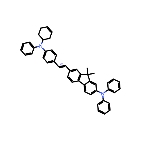 CC1(C)c2cc(/C=C/c3ccc(N(c4ccccc4)C4CC=CCC4)cc3)ccc2-c2ccc(N(c3ccccc3)c3ccccc3)cc21